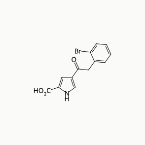 O=C(Cc1ccccc1Br)c1c[nH]c(C(=O)O)c1